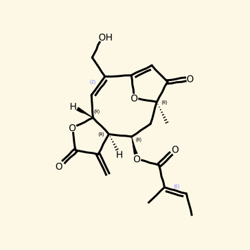 C=C1C(=O)O[C@@H]2/C=C(/CO)C3=CC(=O)[C@@](C)(C[C@@H](OC(=O)/C(C)=C/C)[C@@H]12)O3